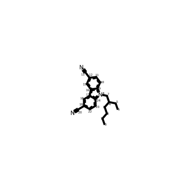 CCCCC(CC)Cn1c2ccc(C#N)cc2c2cc(C#N)ccc21